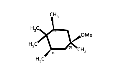 CO[C@@]1(C)C[C@@H](C)C(C)(C)[C@@H](C)C1